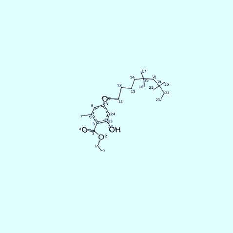 CCOC(=O)c1c(C)cc(OCCCCC(C)(C)CC(C)(C)CC)cc1O